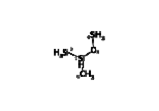 C[SiH]([SiH3])O[SiH3]